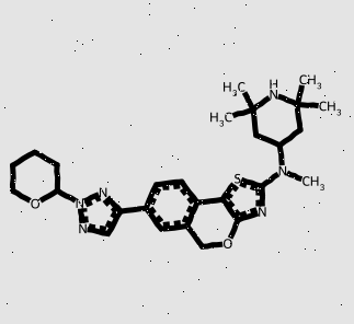 CN(c1nc2c(s1)-c1ccc(-c3cnn(C4CCCCO4)n3)cc1CO2)C1CC(C)(C)NC(C)(C)C1